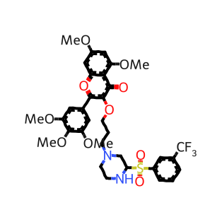 COc1cc(OC)c2c(=O)c(OCCCN3CCNC(S(=O)(=O)c4cccc(C(F)(F)F)c4)C3)c(-c3cc(OC)c(OC)c(OC)c3)oc2c1